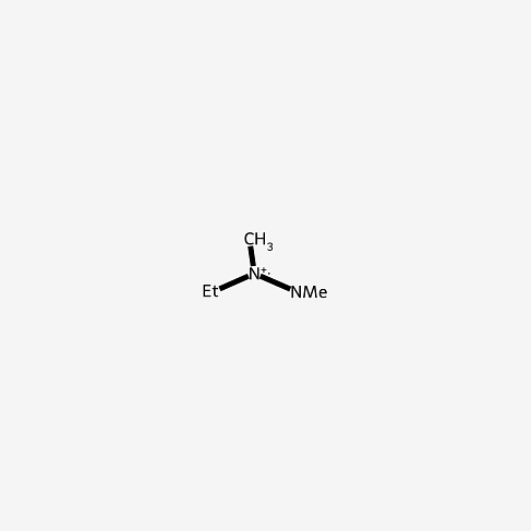 CC[N+](C)NC